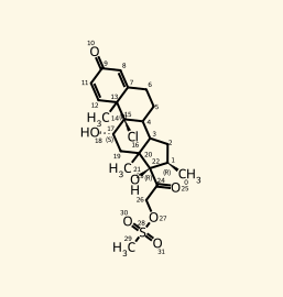 C[C@@H]1CC2C3CCC4=CC(=O)C=CC4(C)[C@@]3(Cl)[C@@H](O)CC2(C)[C@@]1(O)C(=O)COS(C)(=O)=O